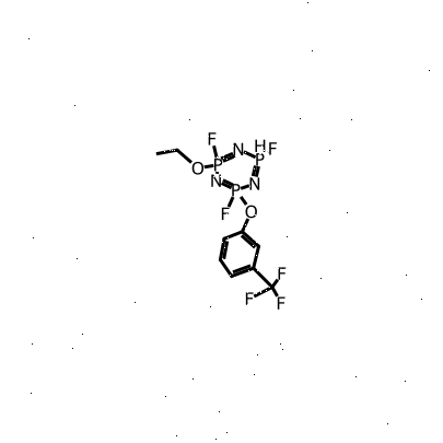 CCOP1(F)=N[PH](F)=NP(F)(Oc2cccc(C(F)(F)F)c2)=N1